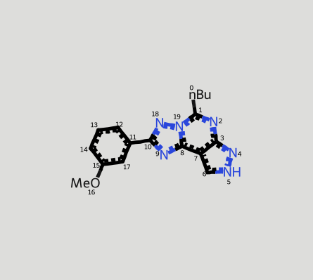 CCCCc1nc2n[nH]cc2c2nc(-c3cccc(OC)c3)nn12